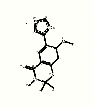 COC1CC2=C(C=C1c1cnco1)C(=O)N(C)C(C)(C)N2